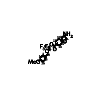 COc1ccc(COC[C@@H](OC(=O)N2CCC3(CC2)CC(N)CO3)C(F)(F)F)cc1